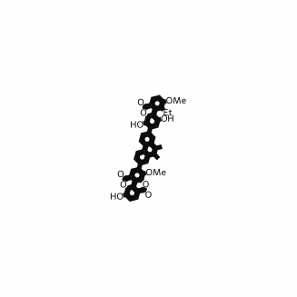 CCc1c(OC)ccc2c(=O)oc3c(O)c(-c4ccc5c(c4)c(C)c(C)c4cc(-c6cc7c(=O)oc8c(O)ccc9c(=O)oc(c6OC)c7c89)ccc45)cc(O)c3c12